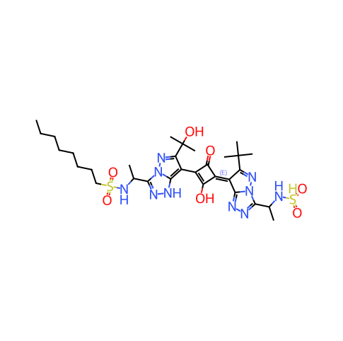 CCCCCCCCS(=O)(=O)NC(C)c1n[nH]c2c(C3=C(O)/C(=c4/c(C(C)(C)C)nn5c(C(C)N[SH](=O)=O)nnc45)C3=O)c(C(C)(C)O)nn12